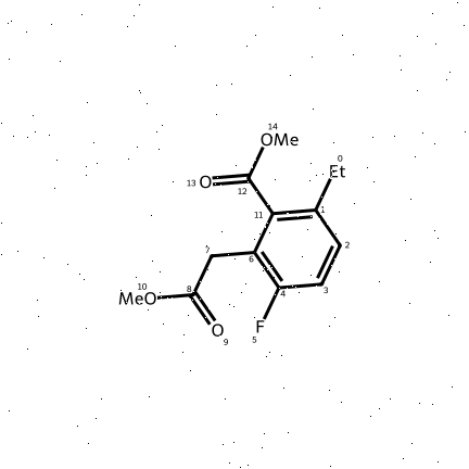 CCc1ccc(F)c(CC(=O)OC)c1C(=O)OC